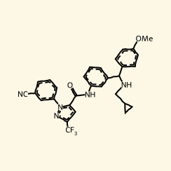 COc1ccc(C(NCC2CC2)c2cccc(NC(=O)c3cc(C(F)(F)F)nn3-c3cccc(C#N)c3)c2)cc1